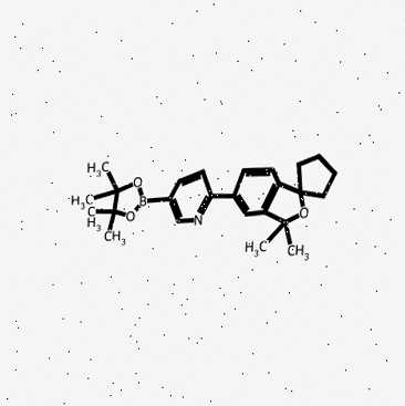 CC1(C)OC2(CCCC2)c2ccc(-c3ccc(B4OC(C)(C)C(C)(C)O4)cn3)cc21